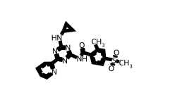 Cc1cc(S(C)(=O)=O)ccc1C(=O)Nc1nc(NC2CC2)nc(-c2ccccn2)n1